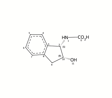 O=C(O)N[C@H]1c2ccccc2C[C@H]1O